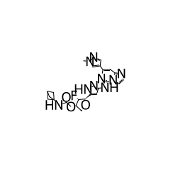 Cn1cc(-c2cc3nccn3c(Nc3cc([C@H]4OC[C@@H](OC(=O)NC56CC(C5)C6)[C@@H]4F)[nH]n3)n2)cn1